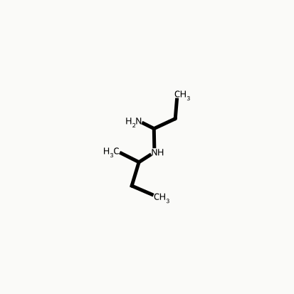 CCC(C)NC(N)CC